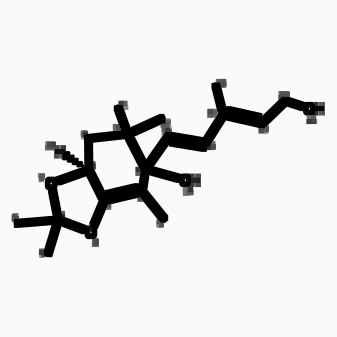 CC1=C2OC(C)(C)O[C@H]2CC(C)(C)C1(O)/C=C/C(C)=C/CO